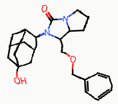 O=C1N2CCCC2C(COCc2ccccc2)N1C1C2CC3CC1CC(O)(C3)C2